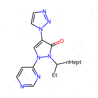 CCCCCCCC(CC)n1c(=O)c(-n2ccnn2)cn1-c1ccncn1